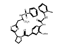 COc1cc(CC(=O)N2CCCC2c2coc(CC(NS(=O)(=O)c3ccccc3)C(=O)O)n2)ccc1NC(=O)Nc1ccccc1C